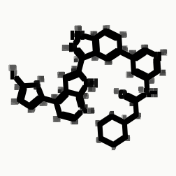 O=C(CC1CCCCC1)Nc1cncc(-c2ccc3[nH]nc(-c4cc5c(-c6ccc(F)s6)ccnc5[nH]4)c3c2)c1